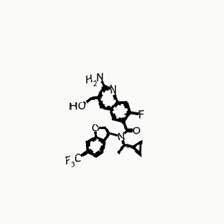 CC(C1CC1)N(C(=O)c1cc2cc(CO)c(N)nc2cc1F)C1COc2cc(C(F)(F)F)ccc21